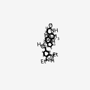 CCNc1ccc(C(=O)[C@H]2CC[C@H]3[C@@H]4CCC5NC(=O)C=C[C@]5(C)[C@H]4CC[C@]23C)cc1NCC